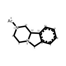 CC(=O)N1CCN2Cc3ccccc3C2C1